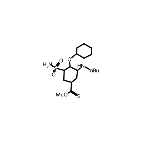 CCCCNC1CC(C(=S)OC)CC(S(N)(=O)=O)C1OC1CCCCC1